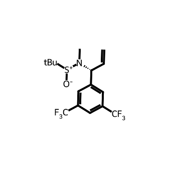 C=C[C@H](c1cc(C(F)(F)F)cc(C(F)(F)F)c1)N(C)[S+]([O-])C(C)(C)C